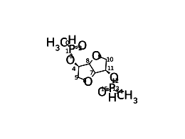 C[PH](=O)O[C@@H]1COC2C1OC[C@H]2O[PH](C)=O